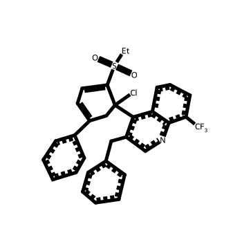 CCS(=O)(=O)C1=CC=C(c2ccccc2)CC1(Cl)c1c(Cc2ccccc2)cnc2c(C(F)(F)F)cccc12